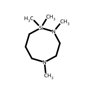 CN1CCC[Si](C)(C)N(C)CC1